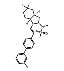 CN([C@@H]1C[C@@H]2CC(F)(F)CC[C@H]2[C@@H]1C=Cc1ccc(-c2cccc(F)c2)cn1)S(C)(=O)=O